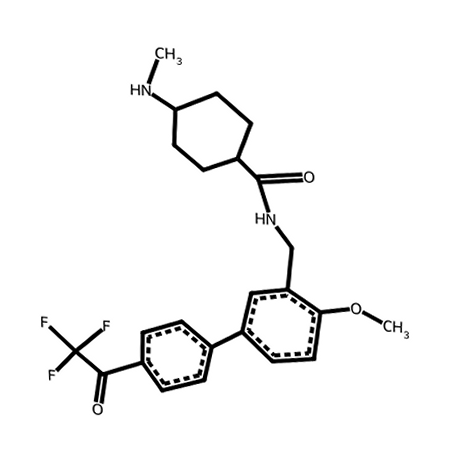 CNC1CCC(C(=O)NCc2cc(-c3ccc(C(=O)C(F)(F)F)cc3)ccc2OC)CC1